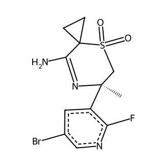 C[C@@]1(c2cc(Br)cnc2F)CS(=O)(=O)C2(CC2)C(N)=N1